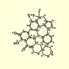 O=C1c2c(O)c(=O)ccn2N(C2c3ccccc3-c3scc4c3-c3c2ccc(F)c3C(F)(F)C4)C2CC3(CCOCC3)CCN12